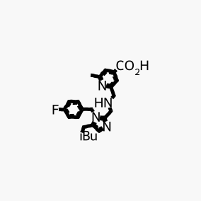 CCC(C)Cc1cnc(CNCc2cc(C(=O)O)cc(C)n2)n1Cc1ccc(F)cc1